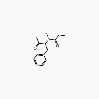 CCC(=O)N(C)[C@@H](Cc1ccccc1)C(C)=O